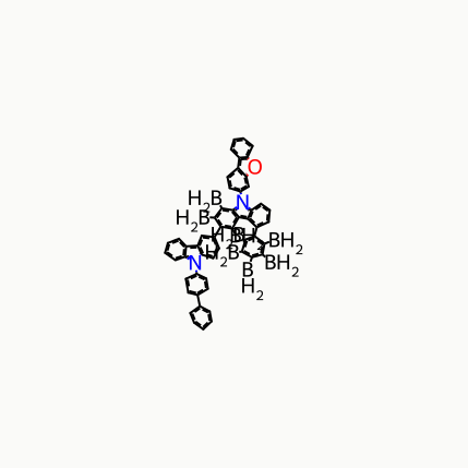 Bc1c(B)c(B)c(-c2cccc3c2c2c(B)c(-c4ccc5c(c4)c4ccccc4n5-c4ccc(-c5ccccc5)cc4)c(B)c(B)c2n3-c2ccc3c(c2)oc2ccccc23)c(B)c1B